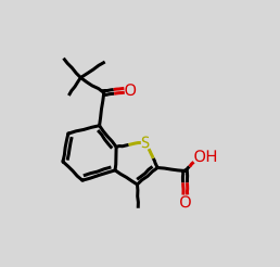 Cc1c(C(=O)O)sc2c(C(=O)C(C)(C)C)cccc12